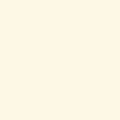 CCCc1cc(Cl)cc(C(=O)O)c1